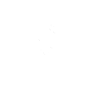 Cn1cc(-c2c([N+](=O)[O-])c(=O)n(Cc3ccccc3F)c(=O)n2Cc2ccccc2F)cn1